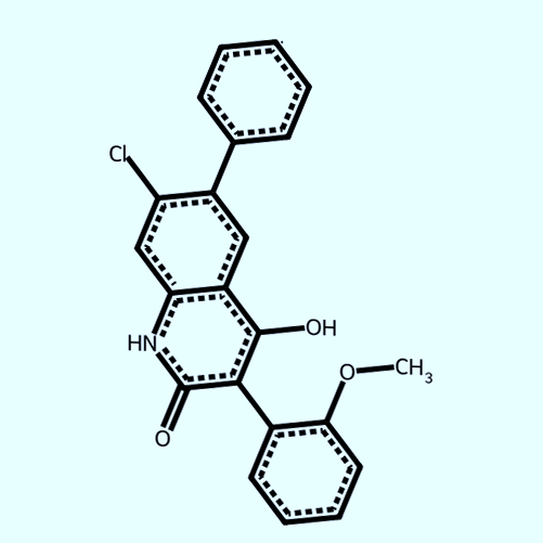 COc1ccccc1-c1c(O)c2cc(-c3cc[c]cc3)c(Cl)cc2[nH]c1=O